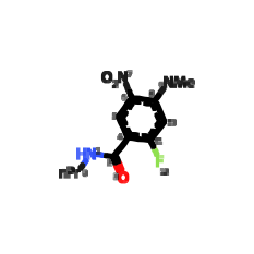 CCCNC(=O)c1cc([N+](=O)[O-])c(NC)cc1F